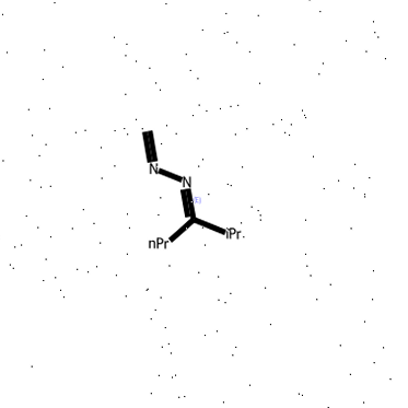 C=N/N=C(\CCC)C(C)C